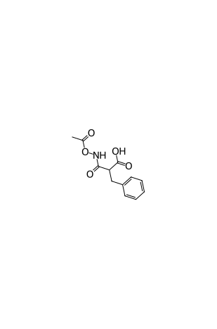 CC(=O)ONC(=O)C(Cc1ccccc1)C(=O)O